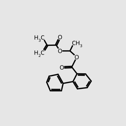 C=C(C)C(=O)OC(C)OC(=O)c1ccccc1-c1ccccc1